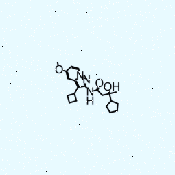 COc1ccn2nc(NC(=O)CC(C)(O)C3CCCC3)c(C3CCC3)c2c1